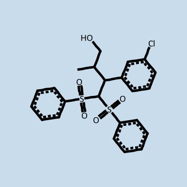 CC(CO)C(c1cccc(Cl)c1)C(S(=O)(=O)c1ccccc1)S(=O)(=O)c1ccccc1